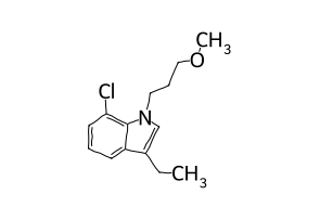 CCc1cn(CCCOC)c2c(Cl)cccc12